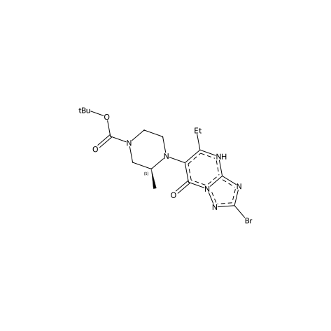 CCc1[nH]c2nc(Br)nn2c(=O)c1N1CCN(C(=O)OC(C)(C)C)C[C@@H]1C